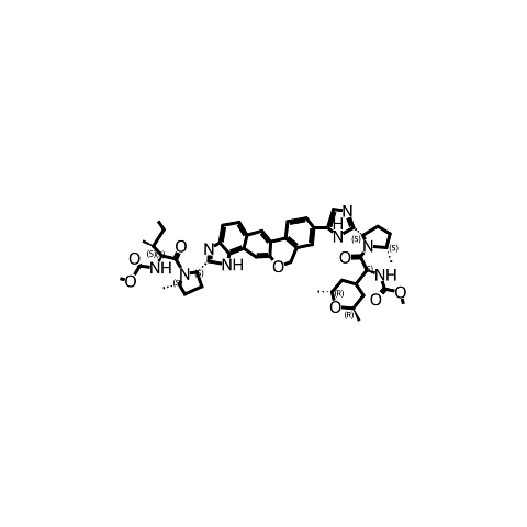 CC[C@H](C)[C@H](NC(=O)OC)C(=O)N1[C@@H](C)CC[C@H]1c1nc2ccc3cc4c(cc3c2[nH]1)OCc1cc(-c2cnc([C@@H]3CC[C@H](C)N3C(=O)[C@@H](NC(=O)OC)C3C[C@@H](C)O[C@H](C)C3)[nH]2)ccc1-4